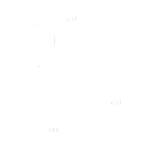 COc1cc(P)cc2oc(C(C)=O)cc12